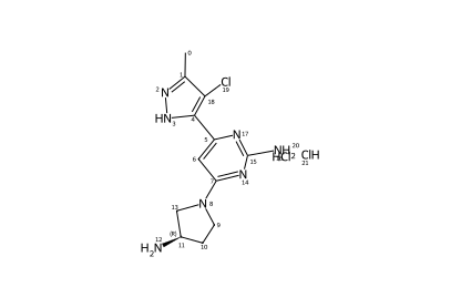 Cc1n[nH]c(-c2cc(N3CC[C@@H](N)C3)nc(N)n2)c1Cl.Cl.Cl